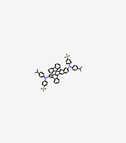 CC(C)c1ccc(N(c2ccc(S(C)(C)C)cc2)c2ccc3cc4c(cc3c2)C2(c3ccccc3-c3ccccc32)c2c-4c3ccccc3c3cc(N(c4ccc(C(C)C)cc4)c4ccc(S(C)(C)C)cc4)ccc23)cc1